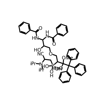 COC(OC)(C(COCC(O)C(NC(=O)c1ccccc1)NC(=O)c1ccccc1)P(O)(O)(O)CC(C#N)N(C(C)C)C(C)C)C(c1ccccc1)(c1ccccc1)c1ccccc1